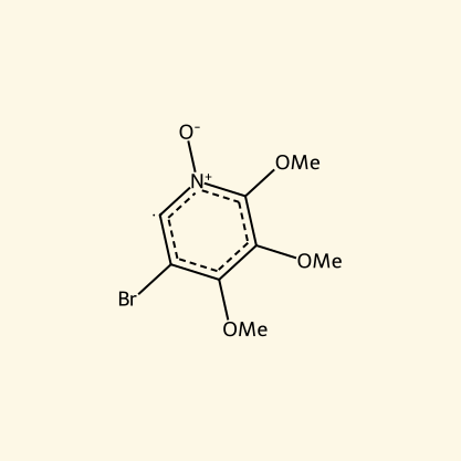 COc1c(Br)[c][n+]([O-])c(OC)c1OC